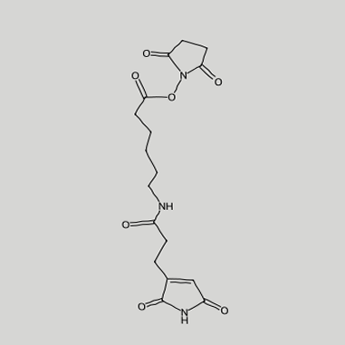 O=C1C=C(CCC(=O)NCCCCCC(=O)ON2C(=O)CCC2=O)C(=O)N1